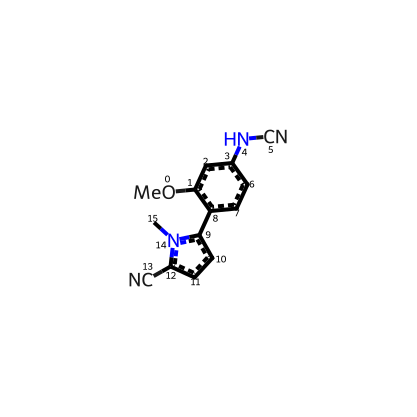 COc1cc(NC#N)ccc1-c1ccc(C#N)n1C